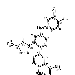 COc1ccc(-c2cnc(Nc3ccc(F)c(Cl)c3)nc2N2C=CC(C(F)(F)F)N2)cc1C(N)=O